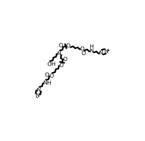 CN1CCN(CCCNCCC(=O)OCCCCCOC(C)(C)C(=O)CCN(CCCCCO)CCC(=O)C(C)(C)OCCCCCOC(=O)CCNCCCN2CCN(C)CC2)CC1